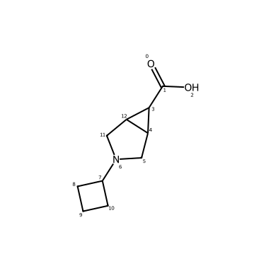 O=C(O)C1C2CN(C3CCC3)CC21